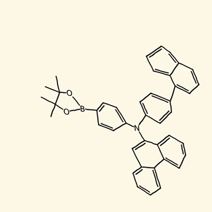 CC1(C)OB(c2ccc(N(c3ccc(-c4cccc5ccccc45)cc3)c3cc4ccccc4c4ccccc34)cc2)OC1(C)C